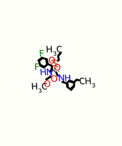 CCCCS(=O)(=O)C(c1cc(F)cc(F)c1)[C@H]([CH]CNCc1cccc(CC)c1)NC(=O)COC